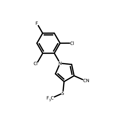 N#Cc1cn(-c2c(Cl)cc(F)cc2Cl)cc1SC(F)(F)F